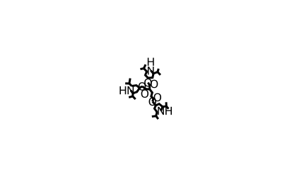 CC(C)C1CC(OC(=O)CCC(C(=O)OC2CC(C(C)C)NC(C(C)C)C2)C(=O)OC2CC(C(C)C)NC(C(C)C)C2)CC(C(C)C)N1